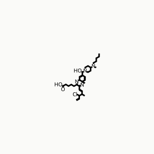 C=CC(Cl)C(C)/C=C/C1=NC2(C)C=CC(C(O)N3CCC(N(C)CCCCC)CC3)=CC2N=C1CCCCC(=O)O